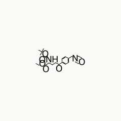 CCOC(=O)C(CCC(=O)c1ccc(CN2CCOCC2)cc1)NC(=O)OC(C)(C)C